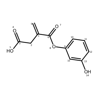 C=C(CC(=O)O)C(=O)Oc1cccc(O)c1